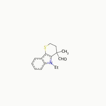 CCn1c2c(c3ccccc31)SCCC2(C)C=O